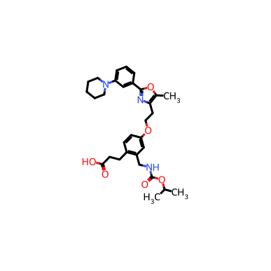 Cc1oc(-c2cccc(N3CCCCC3)c2)nc1CCOc1ccc(CCC(=O)O)c(CNC(=O)OC(C)C)c1